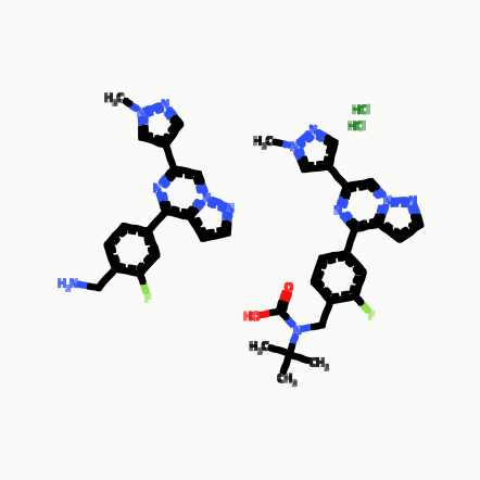 Cl.Cl.Cn1cc(-c2cn3nccc3c(-c3ccc(CN(C(=O)O)C(C)(C)C)c(F)c3)n2)cn1.Cn1cc(-c2cn3nccc3c(-c3ccc(CN)c(F)c3)n2)cn1